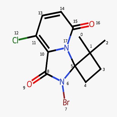 CC1(C)CCC12N(Br)C(=O)c1c(Cl)ccc(=O)n12